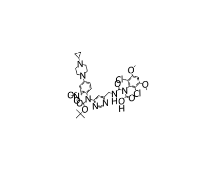 COc1cc(OC)c(Cl)c(N(C(=O)O)C(=O)NCc2cc(N(C(=O)OC(C)(C)C)c3ccc(N4CCN(C5CC5)CC4)cc3[N+](=O)[O-])ncn2)c1Cl